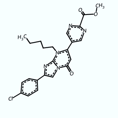 CCCCCn1c(-c2cnc(C(=O)OC)nc2)cc(=O)n2cc(-c3ccc(Cl)cc3)nc12